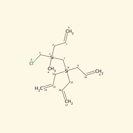 C=CC[Si](C)(CCl)C[Si](CC=C)(CC=C)CC=C